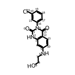 O=c1[nH]c2cc(NCCO)ccc2c(=O)n1-c1cccc(Cl)c1